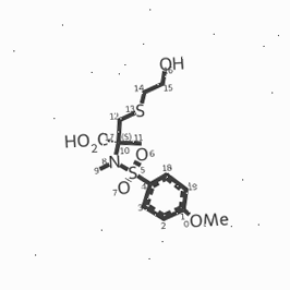 COc1ccc(S(=O)(=O)N(C)[C@](C)(CSCCO)C(=O)O)cc1